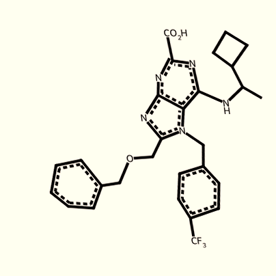 CC(Nc1nc(C(=O)O)nc2nc(COCc3ccccc3)n(Cc3ccc(C(F)(F)F)cc3)c12)C1CCC1